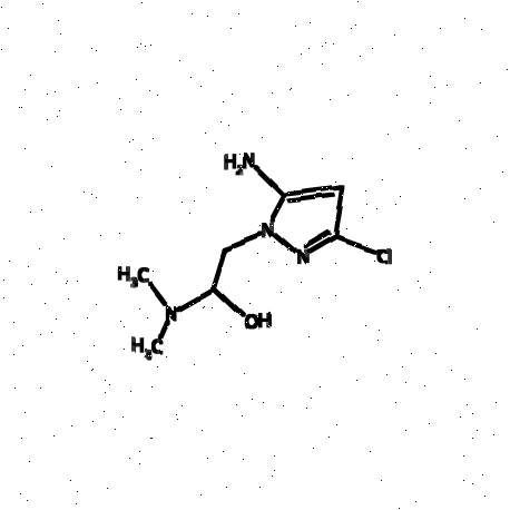 CN(C)C(O)Cn1nc(Cl)cc1N